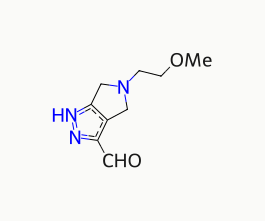 COCCN1Cc2[nH]nc(C=O)c2C1